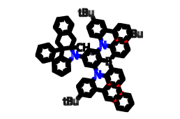 CC(C)(C)c1ccc(N2c3cc(-c4ccccc4)ccc3B3c4ccc(C(C)(C)C)cc4N(c4ccc(C(C)(C)C)cc4-c4ccccc4)c4cc(N5c6ccccc6C6(c7ccccc7)Cc7ccccc7CC56C)cc2c43)c(-c2ccccc2)c1